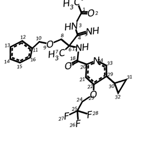 CC(=O)NC(=N)C(C)(COCc1ccccc1)NC(=O)c1cc(OCC(F)(F)F)c(C2CC2)cn1